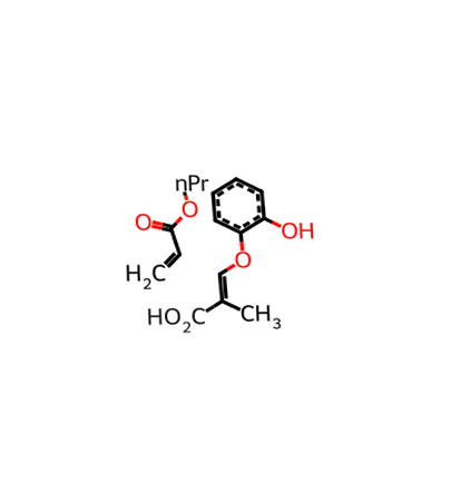 C=CC(=O)OCCC.CC(=COc1ccccc1O)C(=O)O